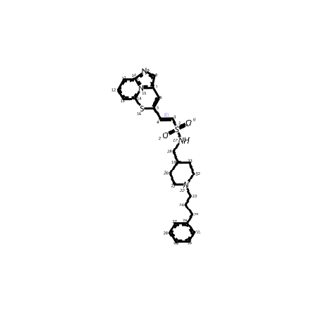 O=S(=O)(/C=C/C1=Cc2cnc3cccc(n23)S1)NCC1CCN(CCCc2ccccc2)CC1